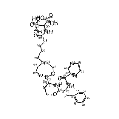 CC[C@H](NC(=O)[C@@H](Cc1ccccc1)NC(=O)c1cnccn1)B1OCCN(CCCOC(=O)NC(P(=O)(O)O)P(=O)(O)O)CCO1